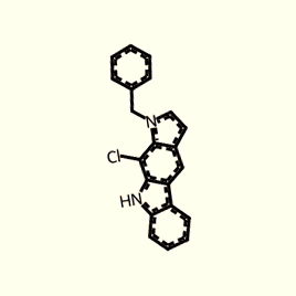 Clc1c2[nH]c3ccccc3c2cc2ccn(Cc3ccccc3)c12